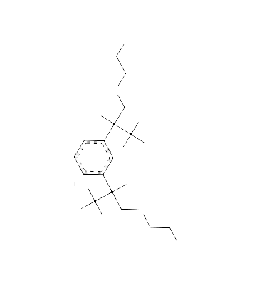 CCCOCC(C)(c1cccc(C(C)(COCCC)C(C)(C)C)c1)C(C)(C)C